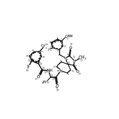 COc1ccc(F)c(CN2C(=O)N(C)C(=O)C23CCN(C(=O)C(NC(=O)c2cc(C(F)(F)F)ccc2F)C(C)C)CC3)c1